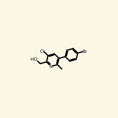 Cc1nc(CO)c(Cl)[c]c1-c1ccc(Br)cc1